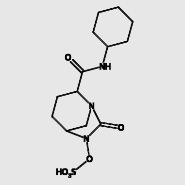 O=C(NC1CCCCC1)C1CCC2CN1C(=O)N2OS(=O)(=O)O